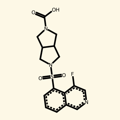 O=C(O)N1CC2CN(S(=O)(=O)c3cccc4cncc(F)c34)CC2C1